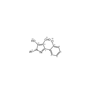 CC(C)n1nc(-c2ccccc2Cl)c(C=O)c1O